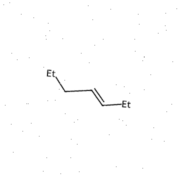 [CH2]C/C=C/CC[CH2]